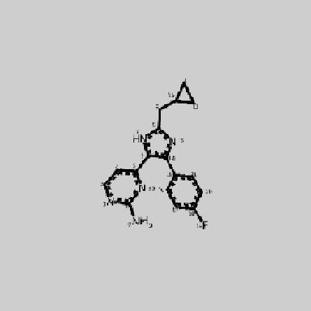 Nc1nccc(-c2[nH]c(CC3CC3)nc2-c2ccc(F)cc2)n1